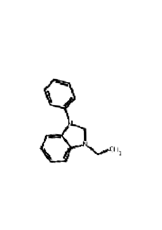 CCN1CN(c2ccccc2)c2ccccc21